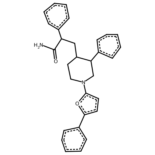 NC(=O)C(CC1CCN(c2ccc(-c3ccccc3)o2)CC1c1ccccc1)c1ccccc1